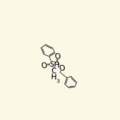 C[SH](=O)(C(=O)OCc1ccccc1)c1ccccc1